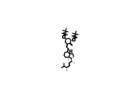 C=C1/C(=C\C=C2/CCC[C@]3(C)[C@@H]([C@H](C)/C=C/[C@H](C)C(C)C)CC[C@@H]23)C[C@@H](O[Si](C)(C)C(C)(C)C)C[C@@H]1O[Si](C)(C)C(C)(C)C